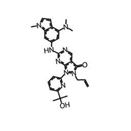 C=CCn1c(=O)c2cnc(Nc3cc(N(C)C)c4ccn(C)c4c3)nc2n1-c1cccc(C(C)(C)O)n1